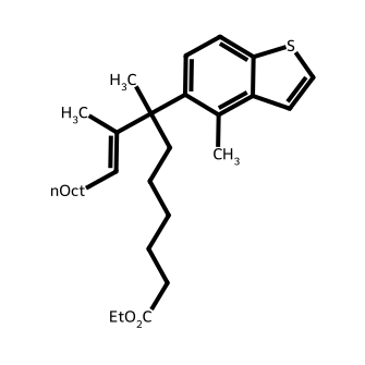 CCCCCCCC/C=C(\C)C(C)(CCCCCC(=O)OCC)c1ccc2sccc2c1C